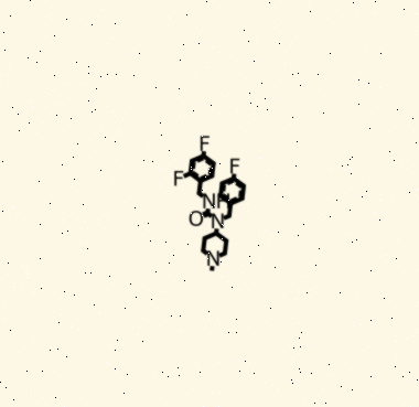 CN1CCC(N(Cc2ccc(F)cc2)C(=O)NCc2ccc(F)cc2F)CC1